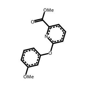 COC(=O)c1cccc(Oc2cccc(OC)c2)n1